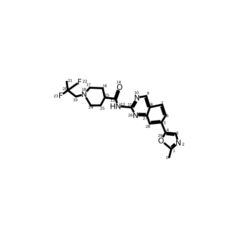 Cc1ncc(-c2ccc3cnc(NC(=O)C4CCN(CC(C)(F)F)CC4)nc3c2)o1